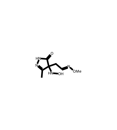 CON=CCC1(NO)C(=O)NN=C1C